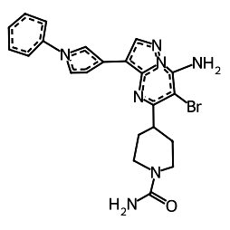 NC(=O)N1CCC(c2nc3c(-c4ccn(-c5ccccc5)c4)cnn3c(N)c2Br)CC1